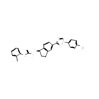 Cc1ccccc1NC(=S)NN=C1CCc2cc(-c3ncn(-c4ccc(OC(F)(F)F)cc4)n3)ccc21